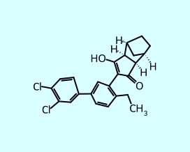 CCc1ccc(-c2ccc(Cl)c(Cl)c2)cc1C1=C(O)[C@H]2[C@H]3CC[C@H](C3)[C@H]2C1=O